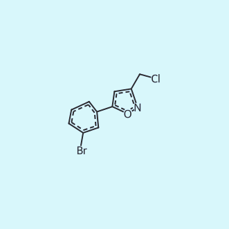 ClCc1cc(-c2cccc(Br)c2)on1